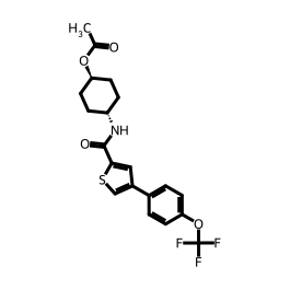 CC(=O)O[C@H]1CC[C@H](NC(=O)c2cc(-c3ccc(OC(F)(F)F)cc3)cs2)CC1